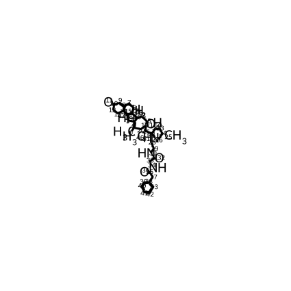 CC1=C2C[C@H]3[C@@H](CCC4=CC(=O)CC[C@@]43C)[C@@H]2CC[C@@]2(C1)O[C@@H]1C[C@H](C)CN(CCNC(=O)CNC(=O)Cc3ccccc3)[C@H]1[C@H]2C